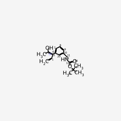 C=C/C(=C(\C)O)c1cccc(CNC(=O)OC(C)(C)C)c1